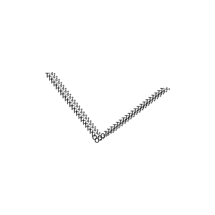 [O-2].[O-2].[O-2].[O-2].[Ti+4].[Ti+4].[Ti+4].[Ti+4].[Ti+4].[Ti+4].[Ti+4].[Ti+4].[Ti+4].[Ti+4].[Ti+4].[Ti+4].[Ti+4].[Ti+4].[Ti+4].[Ti+4].[Ti+4].[Ti+4].[Ti+4].[Ti+4].[Ti+4].[Ti+4].[Ti+4].[Ti+4].[Ti+4].[Ti+4].[Ti+4].[Ti+4].[Ti+4].[Ti+4].[Ti+4].[Ti+4].[Ti+4].[Ti+4].[Ti+4].[Ti+4].[Ti+4].[Ti+4].[Ti+4].[Ti+4].[Ti+4]